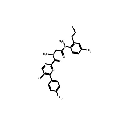 Cc1ccc(N(C)C(=O)CN(C)C(=O)c2ncc(Cl)c(-c3ccc(P)cc3)n2)c(OCF)c1